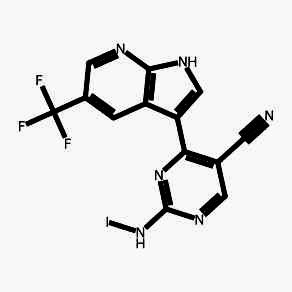 N#Cc1cnc(NI)nc1-c1c[nH]c2ncc(C(F)(F)F)cc12